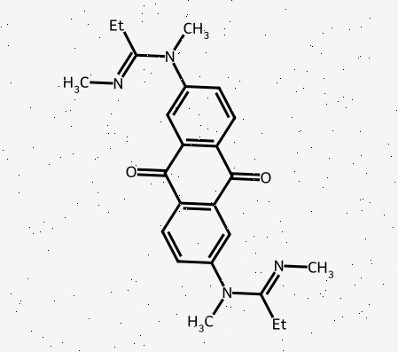 CCC(=NC)N(C)c1ccc2c(c1)C(=O)c1ccc(N(C)C(CC)=NC)cc1C2=O